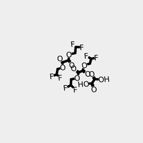 O=C(O)C(=O)O.O=C(OCC(F)F)C(=O)OCC(F)F.O=C(OCC(F)F)C(=O)OCC(F)F